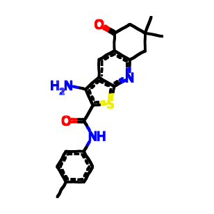 Cc1ccc(NC(=O)c2sc3nc4c(cc3c2N)C(=O)CC(C)(C)C4)cc1